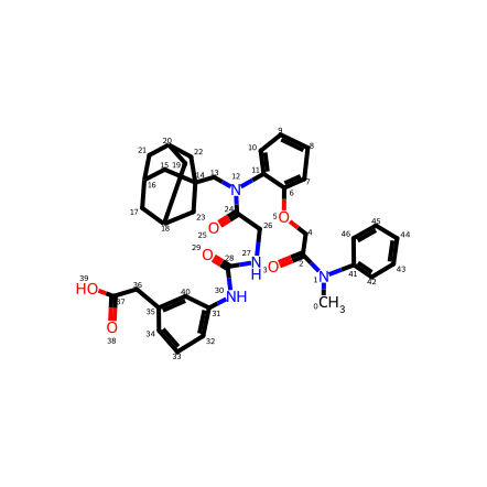 CN(C(=O)COc1ccccc1N(CC12CC3CC(CC(C3)C1)C2)C(=O)CNC(=O)Nc1cccc(CC(=O)O)c1)c1ccccc1